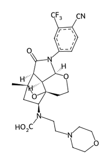 C[C@@]12C[C@H](N(CCN3CCOCC3)C(=O)O)[C@]3(CCO[C@H]4[C@@H]3[C@@H]1C(=O)N4c1ccc(C#N)c(C(F)(F)F)c1)O2